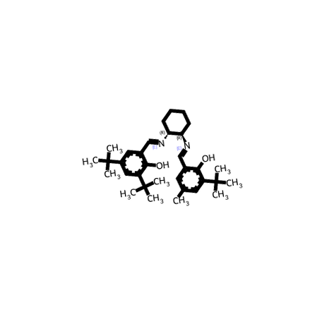 Cc1cc(/C=N/[C@@H]2CCCC[C@H]2/N=C/c2cc(C(C)(C)C)cc(C(C)(C)C)c2O)c(O)c(C(C)(C)C)c1